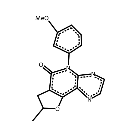 COc1cccc(-n2c(=O)c3c(c4nccnc42)OC(C)C3)c1